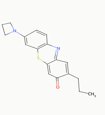 CCCc1cc2nc3ccc(N4CCC4)cc3sc-2cc1=O